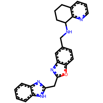 c1cnc2c(c1)CCCC2NCc1ccc2oc(Cc3nc4ccccc4[nH]3)nc2c1